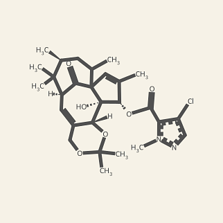 CC1=CC23C(=O)[C@@H](C=C4COC(C)(C)O[C@H]4[C@]2(O)[C@H]1OC(=O)c1c(Cl)cnn1C)C(C)(C)[C@@H](C)CC3C